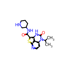 CC(C)N1C(=O)Nc2c(C(=O)NC3CCCNC3)sc3nccc1c23